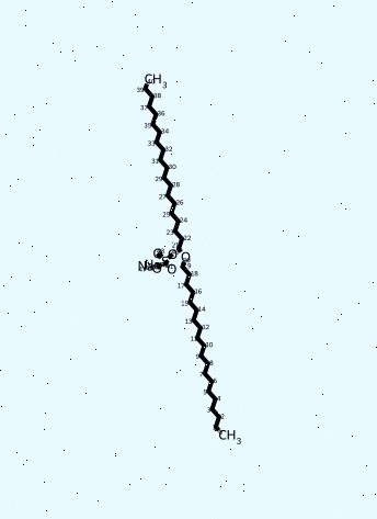 CCCCCCCCCCCCCCCCCCCCOCCCCCCCCCCCCCCCCCCCC.O=S(=O)([O-])[O-].[Na+].[Na+]